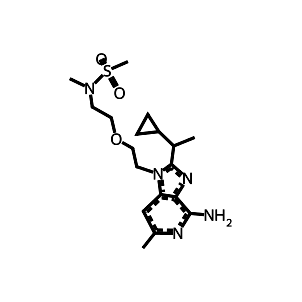 Cc1cc2c(nc(C(C)C3CC3)n2CCOCCN(C)S(C)(=O)=O)c(N)n1